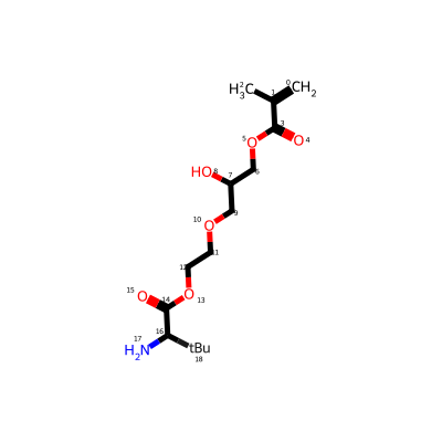 C=C(C)C(=O)OCC(O)COCCOC(=O)C(N)C(C)(C)C